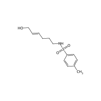 Cc1ccc(S(=O)(=O)NCCCC=CCO)cc1